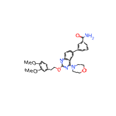 COc1ccc(CCOc2nc(N3CCOCC3)c3cc(-c4cccc(C(N)=O)c4)ccc3n2)cc1OC